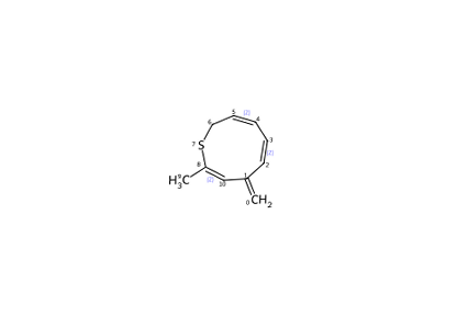 C=C1/C=C\C=C/CS/C(C)=C\1